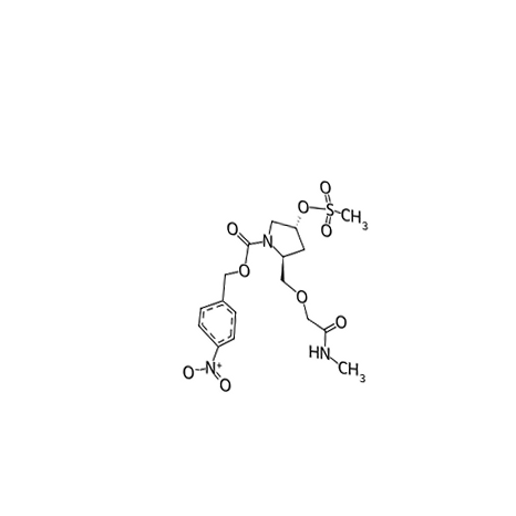 CNC(=O)COC[C@@H]1C[C@@H](OS(C)(=O)=O)CN1C(=O)OCc1ccc([N+](=O)[O-])cc1